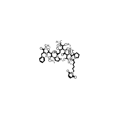 CCC(C)C(C(CC(=O)N1CCC[C@H]1C(OC)C(C)C(=O)NC(Cc1ccccc1)C(=O)OC)OC)N(C)C(=O)C(NC(=O)[C@@]1(C)CCCN1C(=O)CCCCCN1C(=O)C=CC1=O)C(C)C